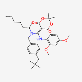 CCCCCC(C)N(Cc1ccc(CC(C)(C)C)cc1)C(Nc1ccc(OC)cc1OC)=C1C(=O)OC(C)(C)OC1=O